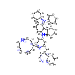 N/C=C\C(Cc1cc(-n2c3ccccc3c3c2ccc2c4ccccc4n(-c4ccccc4)c23)cc(/C2=C/C=N\C/C=C\C=C/C2)n1)=C1\C=CC=CC1